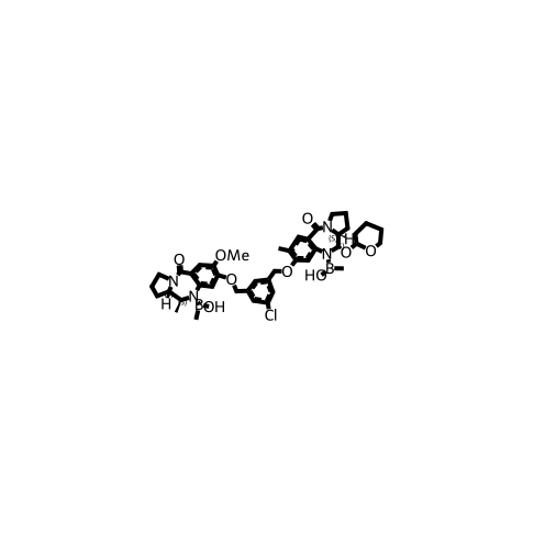 COc1cc2c(cc1OCc1cc(Cl)cc(COc3cc4c(cc3C)C(=O)N3CCC[C@H]3[C@H](OC3CCCCO3)N4B(C)O)c1)N(B(C)O)[C@@H](C)[C@@H]1CCCN1C2=O